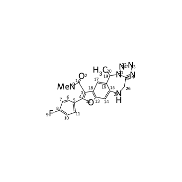 CNC(=O)c1c(-c2ccc(F)cc2)oc2cc3c(cc12)C(C)n1nnnc1CN3